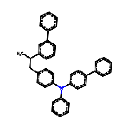 CC(Cc1ccc(N(c2ccccc2)c2ccc(-c3ccccc3)cc2)cc1)c1cccc(-c2ccccc2)c1